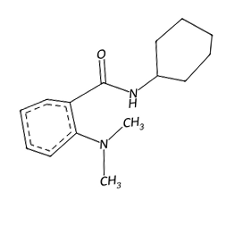 CN(C)c1ccccc1C(=O)NC1CCCCC1